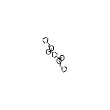 O=C(O/C=C/c1ccccc1)c1ccc(C(=O)O/C=C/c2ccccc2)cc1